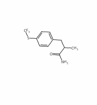 CC(Cc1ccc(SC(F)(F)F)cc1)C(N)=O